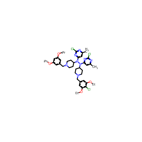 CCOc1cc(CN2CCC(N(c3cc(C)nc(Cl)n3)N(c3cc(C)nc(Cl)n3)C3CCN(Cc4cc(OC(C)C)cc(OC(C)C)c4)CC3)CC2)cc(OCC)c1Cl